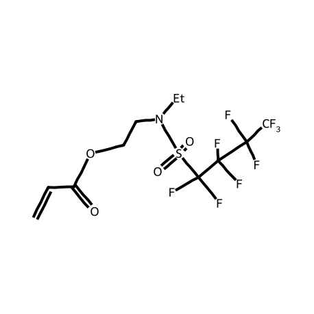 C=CC(=O)OCCN(CC)S(=O)(=O)C(F)(F)C(F)(F)C(F)(F)C(F)(F)F